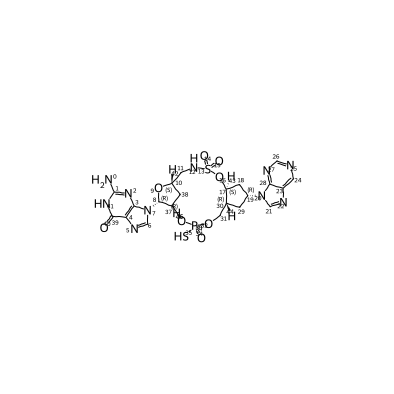 Nc1nc2c(ncn2[C@@H]2O[C@@H]3CNS(=O)(=O)O[C@H]4C[C@H](n5cnc6cncnc65)C[C@@H]4CO[P@@](=O)(S)O[C@@H]2C3)c(=O)[nH]1